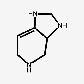 C1=C2NCNC2CNC1